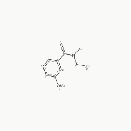 COc1cccc(C(=O)N(C)CO)c1